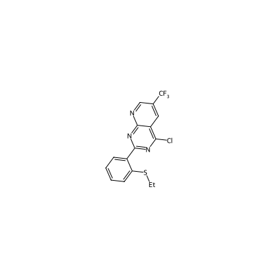 CCSc1ccccc1-c1nc(Cl)c2cc(C(F)(F)F)cnc2n1